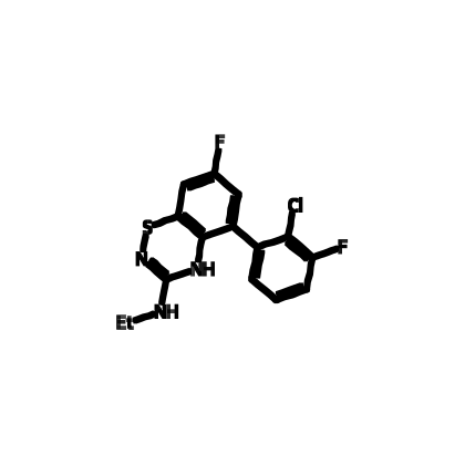 CCNC1=NSc2cc(F)cc(-c3cccc(F)c3Cl)c2N1